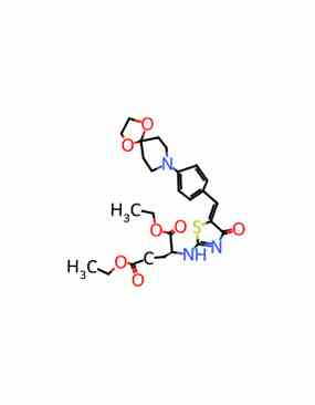 CCOC(=O)CC[C@H](NC1=NC(=O)C(=Cc2ccc(N3CCC4(CC3)OCCO4)cc2)S1)C(=O)OCC